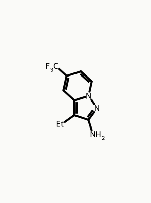 CCc1c(N)nn2ccc(C(F)(F)F)cc12